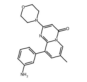 Cc1cc(-c2cccc(N)c2)c2nc(N3CCOCC3)cc(=O)n2c1